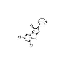 O=c1n(C2CN3CCC2CC3)cc2n1-c1cc(Cl)cc(Cl)c1C2